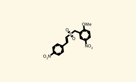 COc1ccc([N+](=O)[O-])cc1CS(=O)(=O)C=Cc1ccc([N+](=O)[O-])cc1